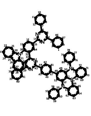 c1ccc(-c2cc(-c3ccccc3)nc(-c3ccc(-n4c5ccccc5c5ccccc54)c(-c4cc(-c5ccccc5)nc(-c5ccc(-c6cc7c8c(c6)N(c6ccccc6)c6ccccc6B8c6ccccc6N7c6ccccc6)cc5)n4)c3)n2)cc1